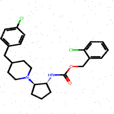 O=C(N[C@@H]1CCC[C@H]1N1CCC(Cc2ccc(Cl)cc2)CC1)OCc1ccccc1Cl